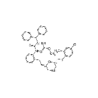 COC(=O)N[C@H](C(=O)Nc1ccccc1CC[C@@H]1CNC[C@@H](CSc2ccc(Cl)cc2C)O1)C(c1ccccc1)c1ccccc1